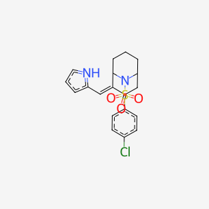 O=C1CC2CCCC(C1=Cc1ccc[nH]1)N2S(=O)(=O)c1ccc(Cl)cc1